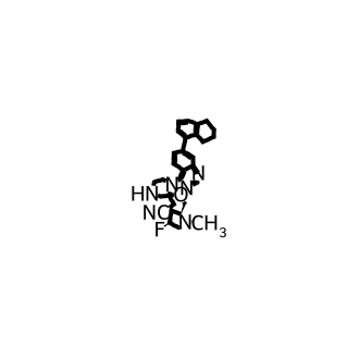 CN1C[C@H](F)C[C@H]1COC1(CC#N)CNCCN1c1ncnc2cc(-c3cccc4c3CCCC4)ccc12